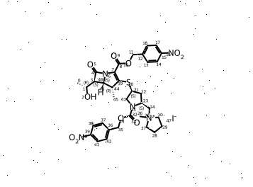 C[C@@H](O)[C@H]1C(=O)N2C(C(=O)OCc3ccc([N+](=O)[O-])cc3)=C(S[C@H]3C[C@@H](C[N+]4(C)CCCC4)N(C(=O)OCc4ccc([N+](=O)[O-])cc4)C3)[C@H](C)[C@H]12.[I-]